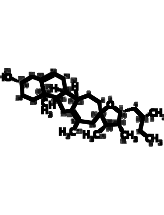 CC[C@@H](C)C[C@H]1O[C@]2(CC[C@@H]3C(=C(C)C2)C[C@H]2[C@H]3CC=C3C[C@@H](O)CC[C@@]32C)[C@H](C)[C@@H]1C